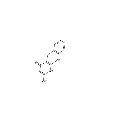 Cc1cc(=O)c(Cc2ccccc2)c(C)[nH]1